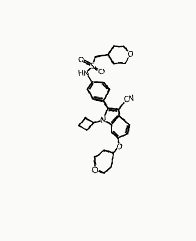 N#Cc1c(-c2ccc(NS(=O)(=O)CC3CCOCC3)cc2)n(C2CCC2)c2cc(OC3CCOCC3)ccc12